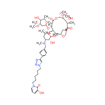 CC[C@H]1OC(=O)[C@H](C)[C@@H](O[C@H]2C[C@@](C)(OC)[C@@H](O)[C@H](C)O2)[C@H](C)[C@@H](O[C@@H]2O[C@H](C)C[C@H](N(C)Cc3ccc(-c4cn(CCCCCCn5cccc(O)c5=O)nn4)cc3)[C@H]2O)[C@@]2(C)C[C@@H](CO2)C(=O)[C@H](C)[C@@H](O)[C@]1(C)O